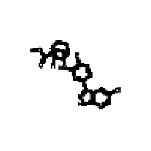 COC(=O)[C@@H]1C2CCC(CC2)C1Nc1nc(-c2n[nH]c3ncc(Cl)cc23)ncc1F